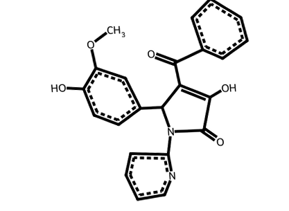 COc1cc(C2C(C(=O)c3ccccc3)=C(O)C(=O)N2c2ccccn2)ccc1O